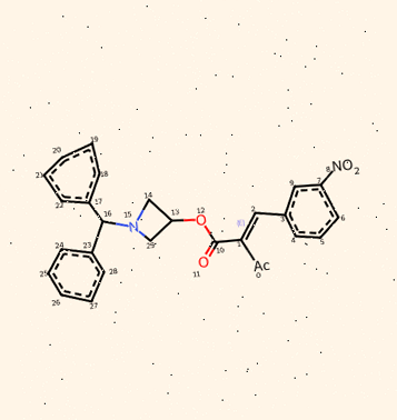 CC(=O)/C(=C\c1cccc([N+](=O)[O-])c1)C(=O)OC1CN(C(c2ccccc2)c2ccccc2)C1